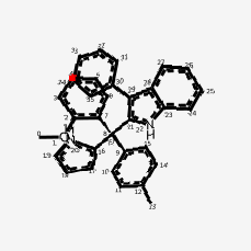 COc1ccccc1[C@@](c1ccc(C)cc1)(c1ccc[nH]1)c1[nH]c2ccccc2c1-c1ccccc1